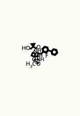 CS(=O)(=O)N[C@H]1C2CC(C2)N(C(=O)C2(CO)CC2)[C@H]1Cc1cccc(-c2ccccc2)c1F